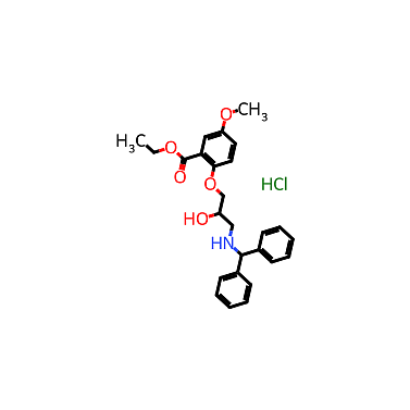 CCOC(=O)c1cc(OC)ccc1OCC(O)CNC(c1ccccc1)c1ccccc1.Cl